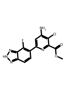 COC(=O)c1nc(-c2ccc3n[nH]nc3c2F)cc(N)c1Cl